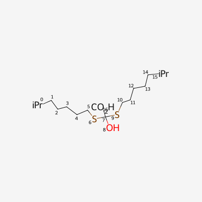 CC(C)CCCCCSC(O)(SCCCCCC(C)C)C(=O)O